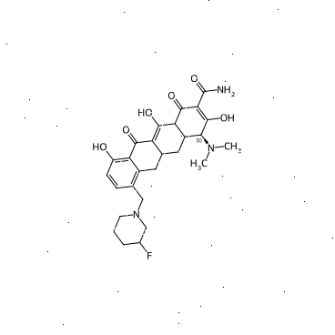 CN(C)[C@@H]1C(O)=C(C(N)=O)C(=O)C2C(O)=C3C(=O)c4c(O)ccc(CN5CCCC(F)C5)c4CC3CC21